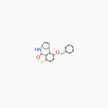 O=C1NC2C=CC(C2)c2c(OCc3ccccc3)ccc(F)c21